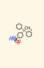 CC(c1ccccc1)(c1ccccc1)c1ccccc1.N=C=O.N=C=O